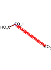 O=C(O)CCCCCCCCCCCCCC(CNCCOCCOCCOCCOCCOCCOCCOCCOCCOCCOCCOCCOCCOCCOCCOCCOCCOCCOCCOCCOCCOCCOCCOCCOCCC(=O)O)C(=O)O